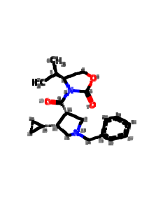 CC(C)[C@H]1COC(=O)N1C(=O)[C@@H]1CN(Cc2ccccc2)C[C@@H]1C1CC1